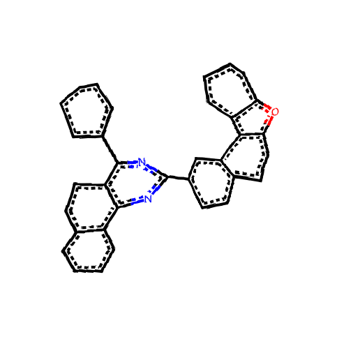 c1ccc(-c2nc(-c3ccc4ccc5oc6ccccc6c5c4c3)nc3c2ccc2ccccc23)cc1